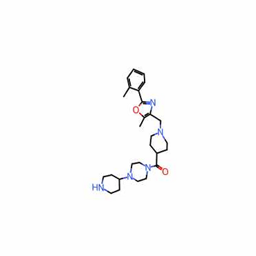 Cc1ccccc1-c1nc(CN2CCC(C(=O)N3CCN(C4CCNCC4)CC3)CC2)c(C)o1